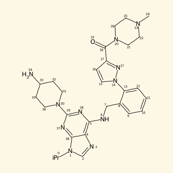 CC(C)n1cnc2c(NCc3ccccc3-n3ccc(C(=O)N4CCN(C)CC4)n3)nc(N3CCC(N)CC3)nc21